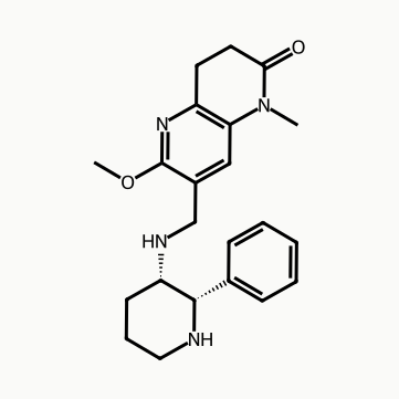 COc1nc2c(cc1CN[C@H]1CCCN[C@H]1c1ccccc1)N(C)C(=O)CC2